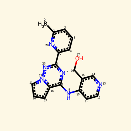 Bc1cccc(-c2nc(Nc3ccncc3CO)c3cccn3n2)n1